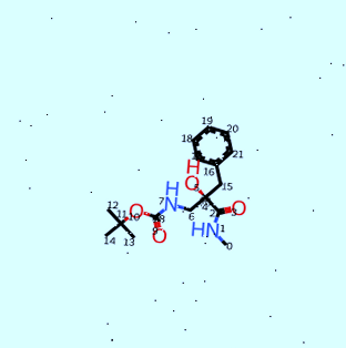 CNC(=O)[C@](O)(CNC(=O)OC(C)(C)C)Cc1ccccc1